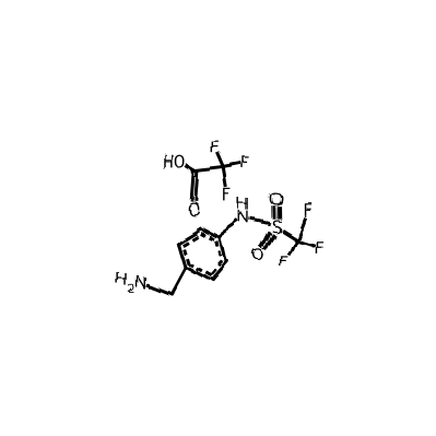 NCc1ccc(NS(=O)(=O)C(F)(F)F)cc1.O=C(O)C(F)(F)F